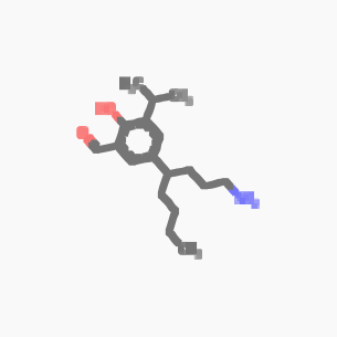 CCCCC(CCCN)c1cc(C=O)c(O)c(C(C)C)c1